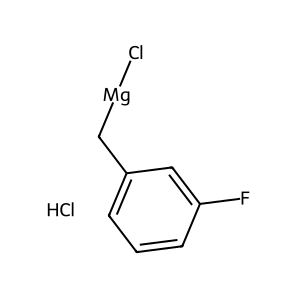 Cl.Fc1cccc([CH2][Mg][Cl])c1